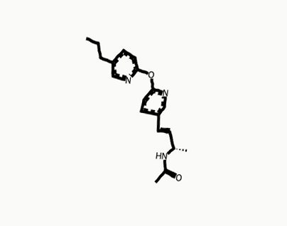 CCCc1ccc(Oc2ccc(/C=C/[C@H](C)NC(C)=O)cn2)nc1